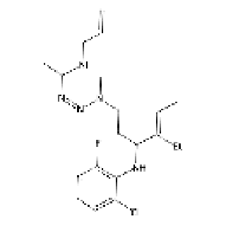 C=CCNC(C)/N=N\N(C)CCC(Nc1c(F)cccc1Cl)/C(=C/C)CC